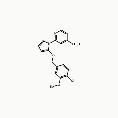 CCOc1cc(COc2ccnn2-c2cc(C(=O)O)ccn2)ccc1Cl